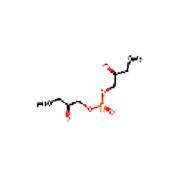 COCC(=O)CO[PH](=O)OCC(=O)COC